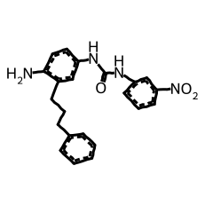 Nc1ccc(NC(=O)Nc2cccc([N+](=O)[O-])c2)cc1CCCc1ccccc1